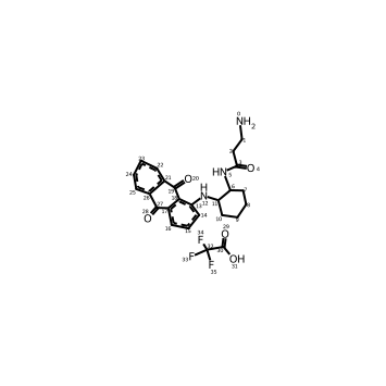 NCCC(=O)NC1CCCCC1Nc1cccc2c1C(=O)c1ccccc1C2=O.O=C(O)C(F)(F)F